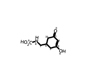 O=C1C=C(O)CC(CNC(=O)O)C1